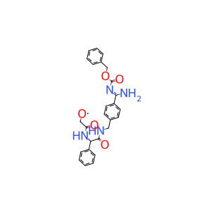 NC(=NC(=O)OCc1ccccc1)c1ccc(CNC(=O)[C@H](NC(=O)C[O])c2ccccc2)cc1